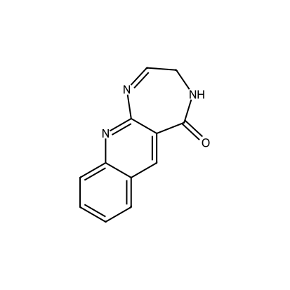 O=C1NCC=Nc2nc3ccccc3cc21